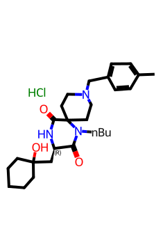 CCCCN1C(=O)[C@@H](CC2(O)CCCCC2)NC(=O)C12CCN(Cc1ccc(C)cc1)CC2.Cl